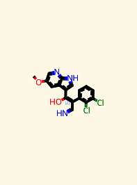 COc1cnc2[nH]cc(/C(O)=C(/C=N)c3cccc(Cl)c3Cl)c2c1